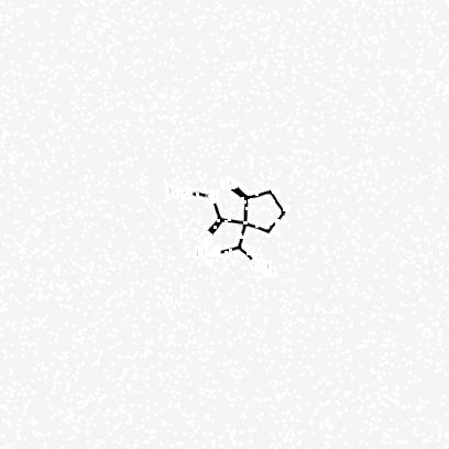 COC(=O)C1(C(C)C)CCCC1=O